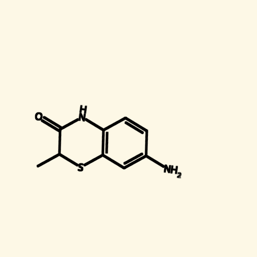 CC1Sc2cc(N)ccc2NC1=O